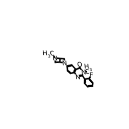 CN1CC2C1CN2c1ccc2nc(-c3ccccc3F)n(C)c(=O)c2c1